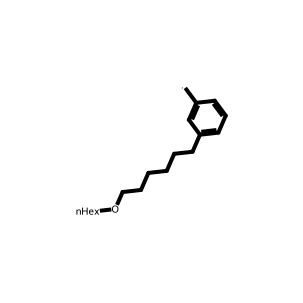 [CH2]c1cccc(CCCCCCOCCCCCC)c1